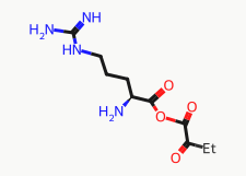 CCC(=O)C(=O)OC(=O)[C@@H](N)CCCNC(=N)N